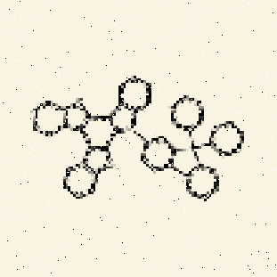 c1ccc(C2(c3ccccc3)c3ccccc3-c3ccc(-n4c5ccccc5c5c6sc7ccccc7c6c6c7ccccc7sc6c54)cc32)cc1